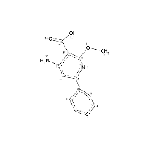 COc1nc(-c2ccccc2)cc(N)c1C(=O)O